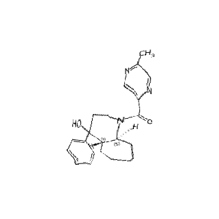 Cc1cnc(C(=O)N2CCC(O)(c3ccccc3)[C@H]3CCCC[C@@H]32)cn1